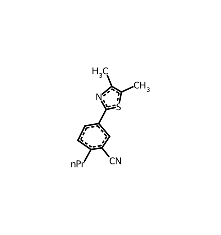 CCCc1ccc(-c2nc(C)c(C)s2)cc1C#N